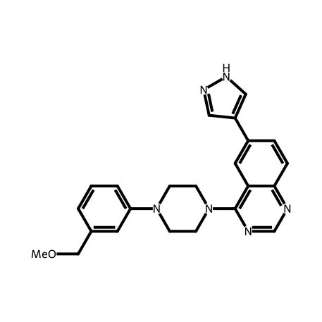 COCc1cccc(N2CCN(c3ncnc4ccc(-c5cn[nH]c5)cc34)CC2)c1